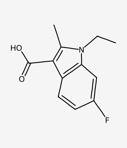 CCn1c(C)c(C(=O)O)c2ccc(F)cc21